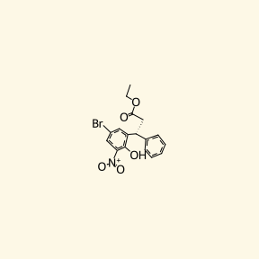 CCOC(=O)C[C@H](c1ccccc1)c1cc(Br)cc([N+](=O)[O-])c1O